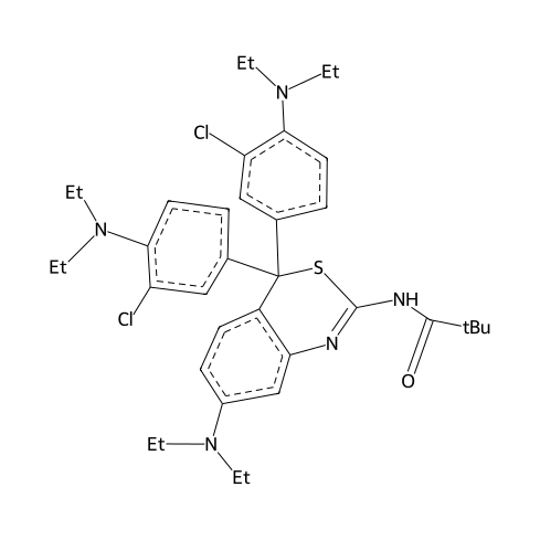 CCN(CC)c1ccc2c(c1)N=C(NC(=O)C(C)(C)C)SC2(c1ccc(N(CC)CC)c(Cl)c1)c1ccc(N(CC)CC)c(Cl)c1